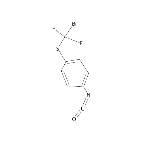 O=C=Nc1ccc(SC(F)(F)Br)cc1